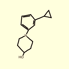 OC1CCN(c2[c]c(C3CC3)ccc2)CC1